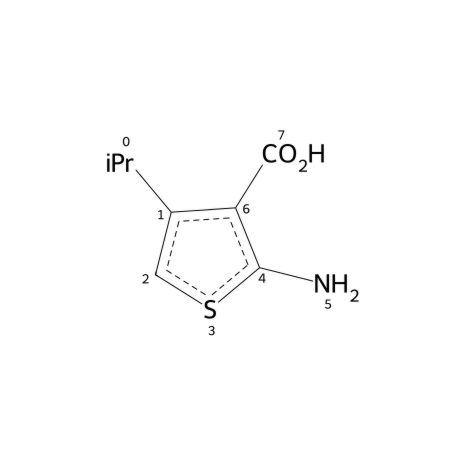 CC(C)c1csc(N)c1C(=O)O